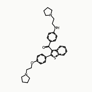 O=C(c1ccc(NCCN2CCCC2)cc1)c1c(-c2ccc(OCCN3CCCC3)cc2)sc2ccccc12